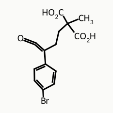 CC(CCC(=C=O)c1ccc(Br)cc1)(C(=O)O)C(=O)O